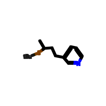 CC(CCc1cccnc1)SC(C)(C)C